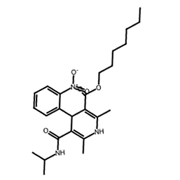 CCCCCCCOC(=O)C1=C(C)NC(C)=C(C(=O)NC(C)C)C1c1ccccc1[N+](=O)[O-]